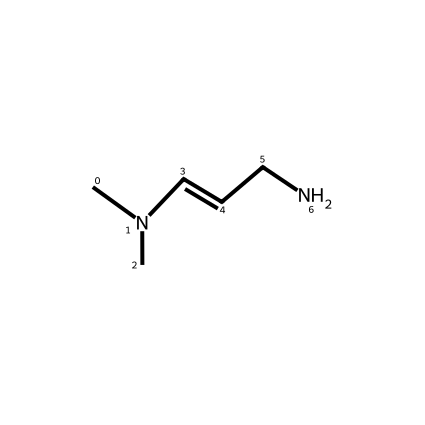 CN(C)C=CCN